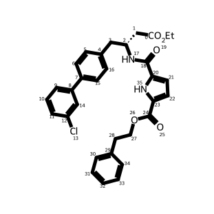 CCOC(=O)C[C@@H](Cc1ccc(-c2cccc(Cl)c2)cc1)NC(=O)c1ccc(C(=O)OCCc2ccccc2)[nH]1